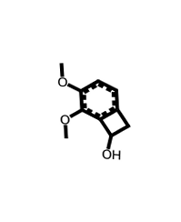 COc1ccc2c(c1OC)C(O)C2